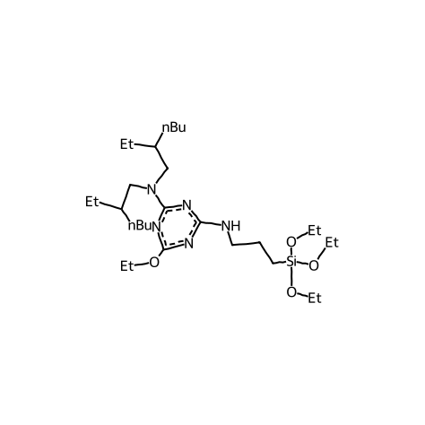 CCCCC(CC)CN(CC(CC)CCCC)c1nc(NCCC[Si](OCC)(OCC)OCC)nc(OCC)n1